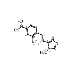 [CH2]CN(CC)c1ccc(N=Nc2nncn2C)c([N+](=O)[O-])c1